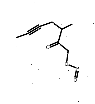 CC#CCC(C)C(=O)COP=O